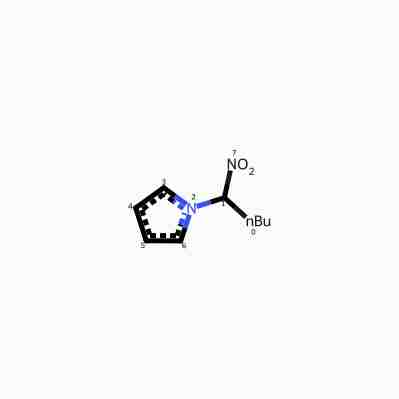 CCCCC(n1cccc1)[N+](=O)[O-]